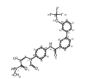 CNC(=O)/C(Cl)=C\N(C=O)c1ccc(NC(=O)c2cccc(-c3cccc(OC(F)(F)F)c3)c2)cc1